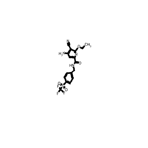 CCOc1nc(C(=O)NCc2ccc(S(=O)(=O)C(F)(F)F)cc2)cc(N)c1C#N